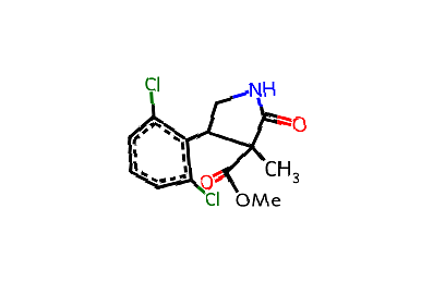 COC(=O)C1(C)C(=O)NCC1c1c(Cl)cccc1Cl